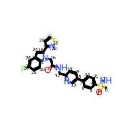 CS(=N)(=O)c1ccc(-c2ccc(CNC(=O)Cn3c(-c4ccsn4)cc4cc(F)ccc43)nc2)cc1